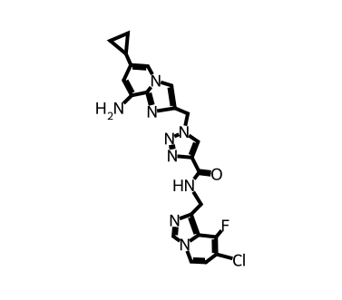 Nc1cc(C2CC2)cn2cc(Cn3cc(C(=O)NCc4ncn5ccc(Cl)c(F)c45)nn3)nc12